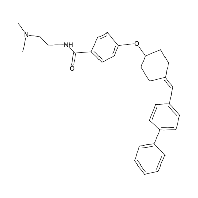 CN(C)CCNC(=O)c1ccc(OC2CCC(=Cc3ccc(-c4ccccc4)cc3)CC2)cc1